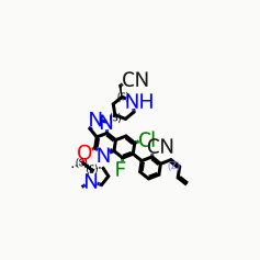 C=C/C=C\c1cccc(-c2c(Cl)cc3c(nc(O[C@@H](C)[C@@H]4CCCN4C)c4cnn([C@H]5CCN[C@H](CC#N)C5)c43)c2F)c1C#N